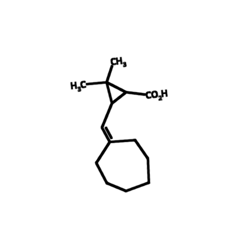 CC1(C)C(C=C2CCCCCC2)C1C(=O)O